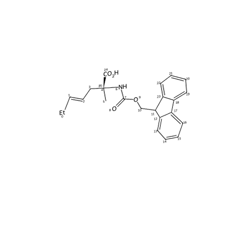 CCC=CC[C@@](C)(NC(=O)OCC1c2ccccc2-c2ccccc21)C(=O)O